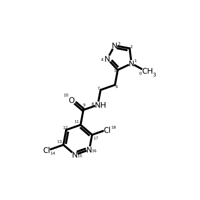 Cn1cnnc1CCNC(=O)c1cc(Cl)nnc1Cl